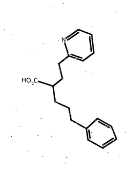 O=C(O)C(CCCc1ccccc1)CCc1ccccn1